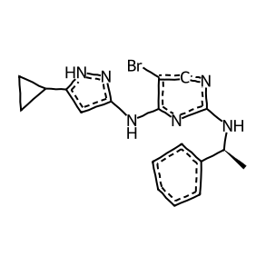 C[C@H](Nc1ncc(Br)c(Nc2cc(C3CC3)[nH]n2)n1)c1ccccc1